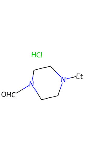 CCN1CCN(C=O)CC1.Cl